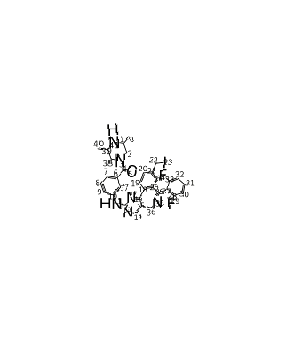 CC1CN(C(=O)c2cccc(Nc3ncc4c(n3)-c3ccc(CI)cc3C(c3c(F)cccc3F)=NC4)c2)CC(C)N1